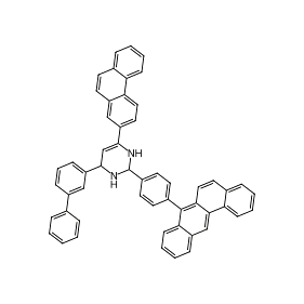 C1=C(c2ccc3c(ccc4ccccc43)c2)NC(c2ccc(-c3c4ccccc4cc4c3ccc3ccccc34)cc2)NC1c1cccc(-c2ccccc2)c1